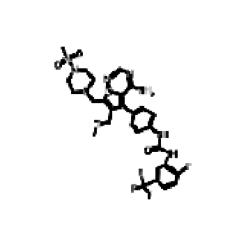 COCc1c(-c2ccc(NC(=O)Nc3cc(C(F)(F)F)ccc3F)cc2)c2c(N)ncnn2c1CN1CCN(S(C)(=O)=O)CC1